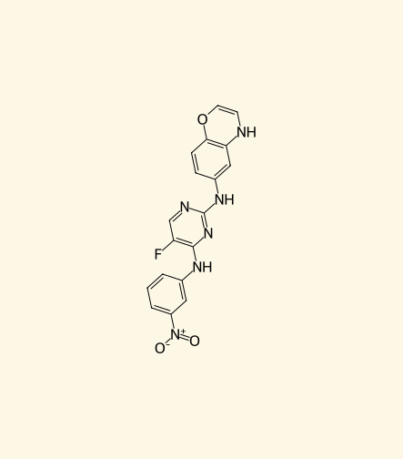 O=[N+]([O-])c1cccc(Nc2nc(Nc3ccc4c(c3)NC=CO4)ncc2F)c1